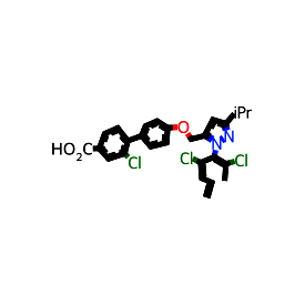 C=C/C=C(Cl)\C(=C(/C)Cl)n1nc(C(C)C)cc1COc1ccc(-c2ccc(C(=O)O)cc2Cl)cc1